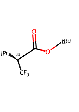 CC(C)[C@@H](C(=O)OC(C)(C)C)C(F)(F)F